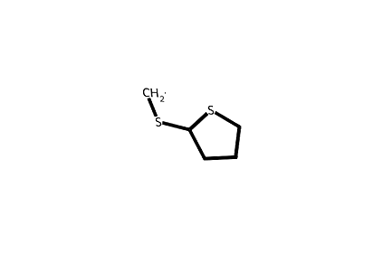 [CH2]SC1CCCS1